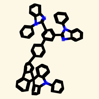 c1ccc(N2c3ccccc3C3(c4ccccc4-c4ccc(-c5ccc(-c6cc(-c7nc8ccccc8n7-c7ccccc7)cc(-c7nc8ccccc8n7-c7ccccc7)c6)cc5)cc43)c3ccccc32)cc1